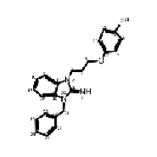 N=c1n(CCCOc2ccc(F)cc2)c2ccccc2n1Cc1ccccc1